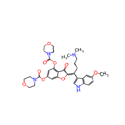 COc1ccc2[nH]cc(/C(CCCN(C)C)=C3\Oc4cc(OC(=O)N5CCOCC5)cc(OC(=O)N5CCOCC5)c4C3=O)c2c1